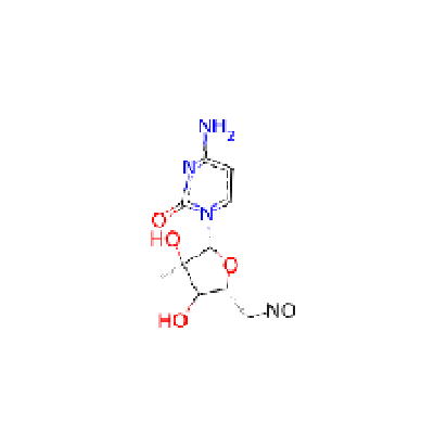 C[C@@]1(O)C(O)[C@@H](CN=O)O[C@H]1n1ccc(N)nc1=O